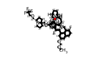 C#Cc1c(F)ccc2cc(OCOC)cc(-c3nc4c5c(nc(OC[C@@]67CCCN6[C@H](COCC(F)(F)F)CC7)nc5c3F)N3C[C@H]5CC[C@@H]([C@H]3CC4)N5C(=O)OC(C)(C)C)c12